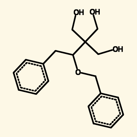 OCC(CO)(CO)C(Cc1ccccc1)OCc1ccccc1